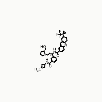 CN1CC(NC(=O)c2cccc([C@@H](CCN3CCC[C@H]3CO)NC(=O)c3ccc4nc5c(cc4c3)C[C@@H](C3(C(F)(F)F)CC3)CC5)c2)C1